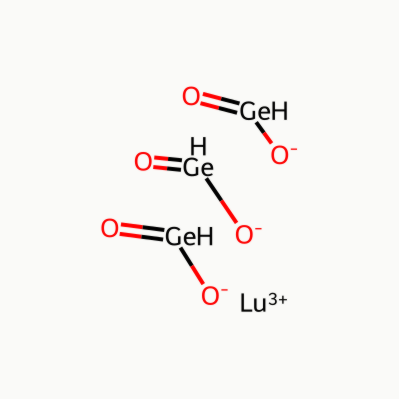 [Lu+3].[O]=[GeH][O-].[O]=[GeH][O-].[O]=[GeH][O-]